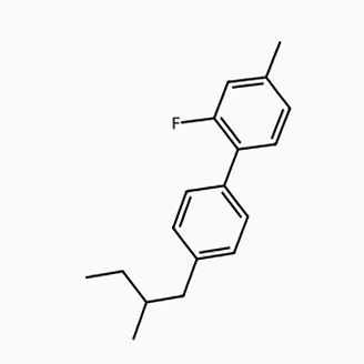 CCC(C)Cc1ccc(-c2ccc(C)cc2F)cc1